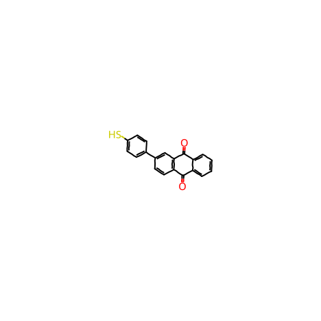 O=C1c2ccccc2C(=O)c2cc(-c3ccc(S)cc3)ccc21